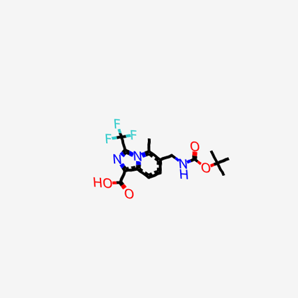 Cc1c(CNC(=O)OC(C)(C)C)ccc2c(C(=O)O)nc(C(F)(F)F)n12